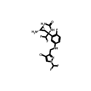 NC(=O)N[C@@](c1cc(NCc2nn(C(F)F)cc2Cl)ccc1F)(C(F)F)[C@H]1C[C@H]1N